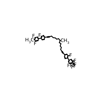 Cc1c(F)cc(-c2ccc(C#CCCCCCC(C)CCCCCC#Cc3ccc(-c4cc(F)c(S(F)(F)(F)(F)F)c(F)c4)c(F)c3)cc2F)cc1F